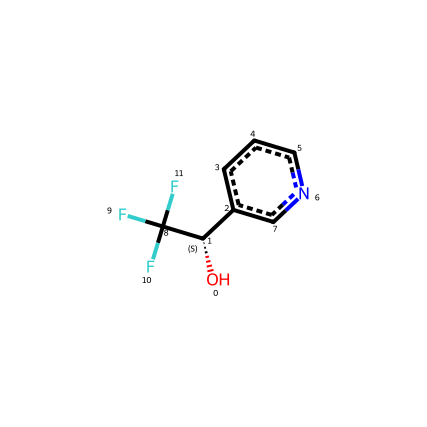 O[C@@H](c1cccnc1)C(F)(F)F